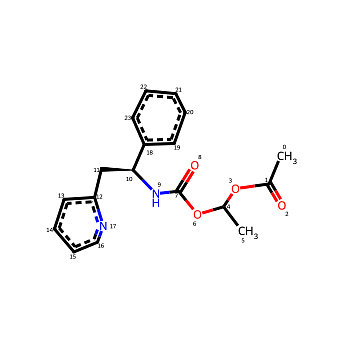 CC(=O)OC(C)OC(=O)N[C@@H](Cc1ccccn1)c1ccccc1